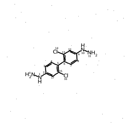 NNc1ccc(-c2ccc(NN)cc2Cl)c(Cl)c1